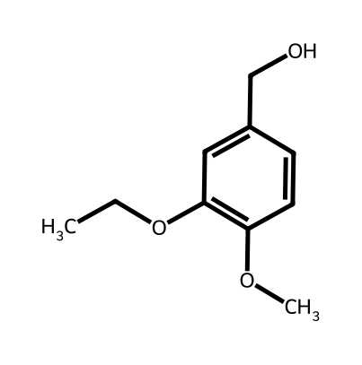 CCOc1cc(CO)ccc1OC